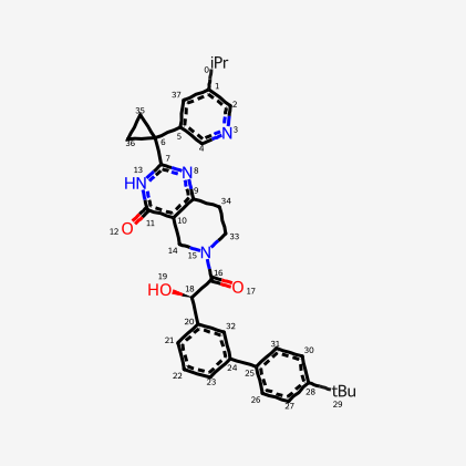 CC(C)c1cncc(C2(c3nc4c(c(=O)[nH]3)CN(C(=O)[C@H](O)c3cccc(-c5ccc(C(C)(C)C)cc5)c3)CC4)CC2)c1